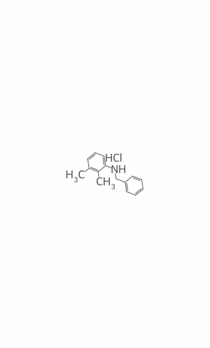 Cc1cccc(NCc2ccccc2)c1C.Cl